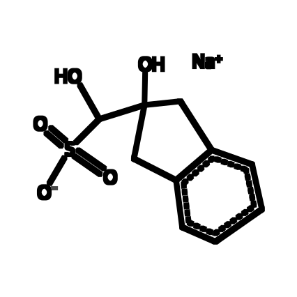 O=S(=O)([O-])C(O)C1(O)Cc2ccccc2C1.[Na+]